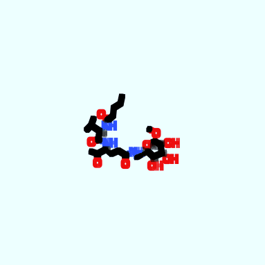 CCCCC(=O)N[C@H](C(=O)N[C@@H](CCC(=O)NC[C@H]1O[C@@H](OC)[C@H](O)[C@@H](O)[C@@H]1O)C(C)=O)C(C)C